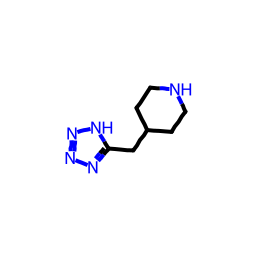 C1CC(Cc2nnn[nH]2)CCN1